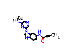 CC#CC(=O)Nc1ccc2ncn(-c3cncc(NC(C)(C)C)n3)c2c1